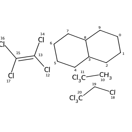 C1CCC2CCCCC2C1.CC(Cl)(Cl)Cl.ClC(Cl)=C(Cl)Cl.ClCC(Cl)(Cl)Cl